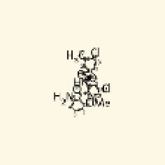 COc1cccc(N)c1C(=O)c1ncc(Cl)cc1NS(=O)(=O)c1ccc(Cl)c(C)c1